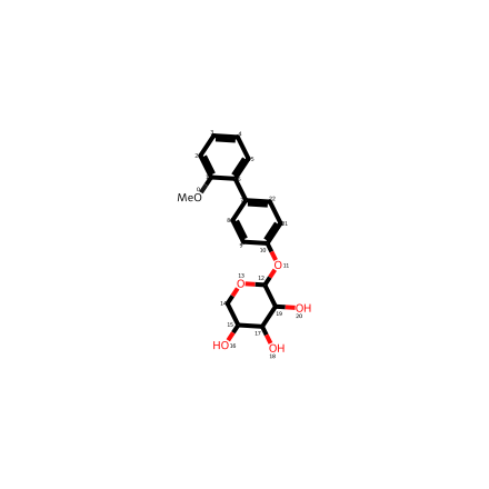 COc1ccccc1-c1ccc(OC2OCC(O)C(O)C2O)cc1